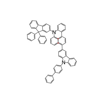 c1ccc(-c2ccc(-n3c4ccccc4c4cc(-c5ccc(-c6ccccc6N(c6ccccc6)c6ccc7c(c6)C(c6ccccc6)(c6ccccc6)c6ccccc6-7)cc5)ccc43)cc2)cc1